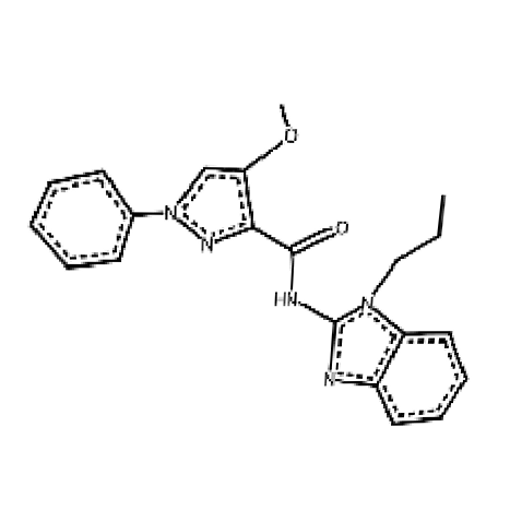 CCCn1c(NC(=O)c2nn(-c3ccccc3)cc2OC)nc2ccccc21